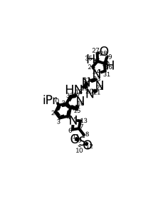 CC(C)c1ccc(N2CC(CS(C)(=O)=O)C2)c2cnc(Nc3ncnc(N4C[C@H]5COC[C@H]5C4)n3)cc12